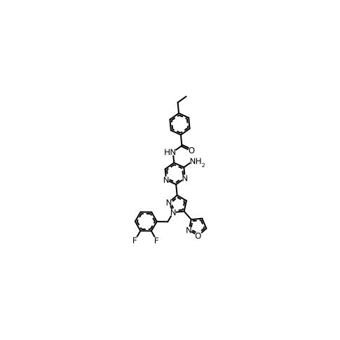 CCc1ccc(C(=O)Nc2cnc(-c3cc(-c4ccon4)n(Cc4cccc(F)c4F)n3)nc2N)cc1